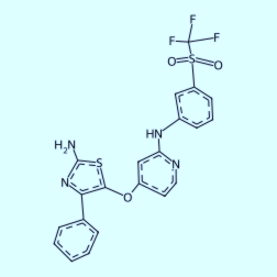 Nc1nc(-c2ccccc2)c(Oc2ccnc(Nc3cccc(S(=O)(=O)C(F)(F)F)c3)c2)s1